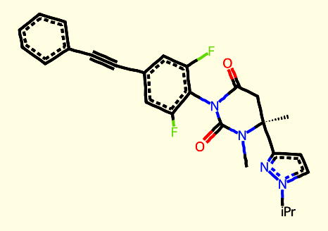 CC(C)n1ccc([C@]2(C)CC(=O)N(c3c(F)cc(C#Cc4ccccc4)cc3F)C(=O)N2C)n1